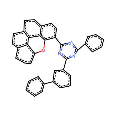 c1ccc(-c2cccc(-c3nc(-c4ccccc4)nc(-c4ccc5ccc6ccc7cccc8c7c6c5c4O8)n3)c2)cc1